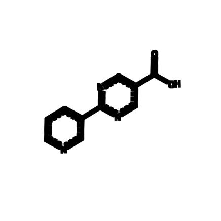 O=C(O)c1cnc(-c2cccnc2)nc1